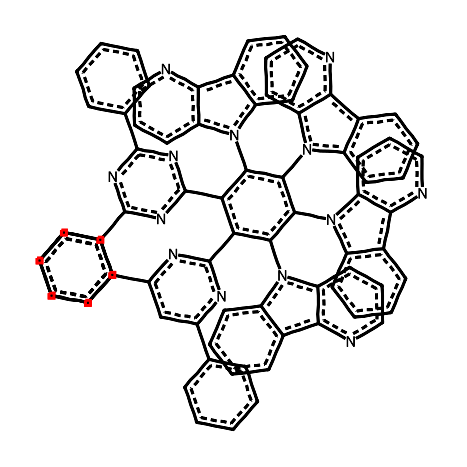 c1ccc(-c2cc(-c3ccccc3)nc(-c3c(-c4nc(-c5ccccc5)nc(-c5ccccc5)n4)c(-n4c5ccccc5c5ncccc54)c(-n4c5ccccc5c5ncccc54)c(-n4c5ccccc5c5ncccc54)c3-n3c4ccccc4c4ncccc43)n2)cc1